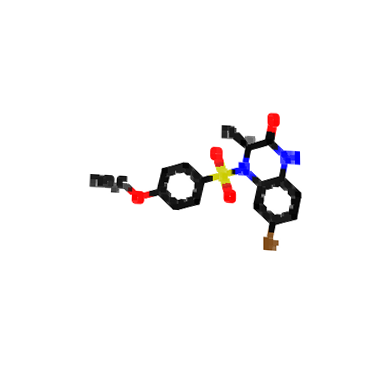 CCOC(=O)Oc1ccc(S(=O)(=O)N2c3cc(Br)ccc3NC(=O)[C@@H]2CC)cc1